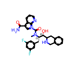 CN(C(=O)n1cc(C(N)=O)c2cccnc21)[C@@H](Cc1cc(F)cc(F)c1)[C@H](O)C1Cc2ccccc2CN1